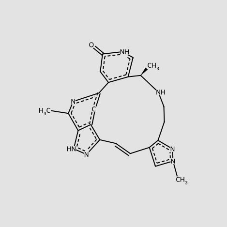 Cc1nc2cc3c(n[nH]c13)/C=C/c1cn(C)nc1CCN[C@H](C)c1c[nH]c(=O)cc1-2